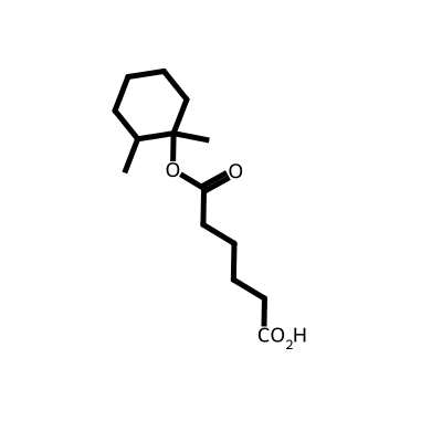 CC1CCCCC1(C)OC(=O)CCCCC(=O)O